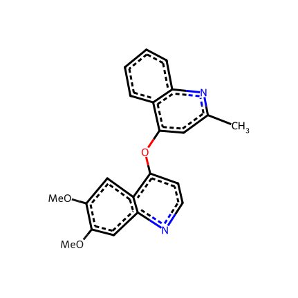 COc1cc2nccc(Oc3cc(C)nc4ccccc34)c2cc1OC